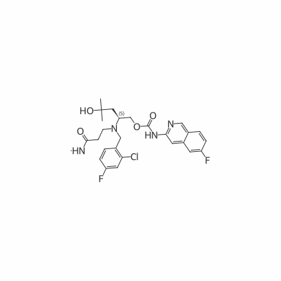 CC(C)(O)C[C@@H](COC(=O)Nc1cc2cc(F)ccc2cn1)N(CCC([NH])=O)Cc1ccc(F)cc1Cl